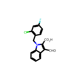 O=Cc1c(C(=O)O)n(Cc2ccc(F)cc2Cl)c2ccccc12